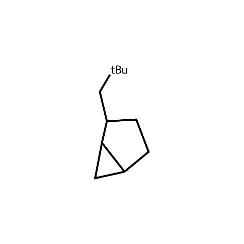 CC(C)(C)CC1CCC2CC21